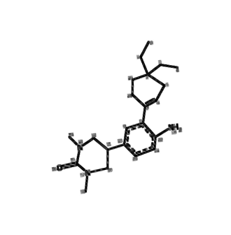 CCC1(CC)CC=C(c2cc(C3CN(C)C(=O)N(C)C3)ccc2N)CC1